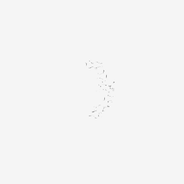 O=C1NC(c2ccc(Sc3ccc4ccccc4c3)cc2)=C2C(=O)NC(c3ccc(Sc4ccc5ccccc5c4)cc3)=C12